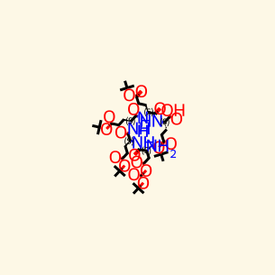 CC(C)(C)OC(=O)CC[C@H](NC(=O)[C@H](CCC(=O)OC(C)(C)C)NC(=O)[C@H](CCC(=O)OC(C)(C)C)NC(=O)[C@H](CCC(=O)OC(C)(C)C)NC(=O)[C@@H](N)CC(=O)OC(=O)OC(C)(C)C)C(=O)O